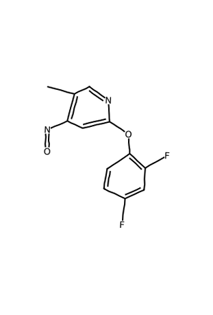 Cc1cnc(Oc2ccc(F)cc2F)cc1N=O